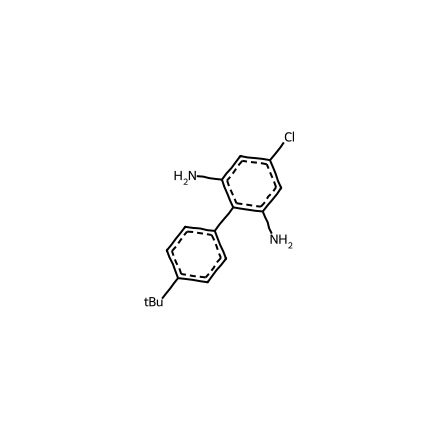 CC(C)(C)c1ccc(-c2c(N)cc(Cl)cc2N)cc1